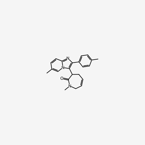 Cc1ccc(-c2nc3ccc(C)cn3c2C2CC=CCN(C)C2=O)cc1